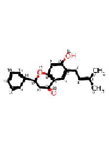 CC(C)=CCc1cc2c(cc1O)OC(c1ccccc1)CC2=O